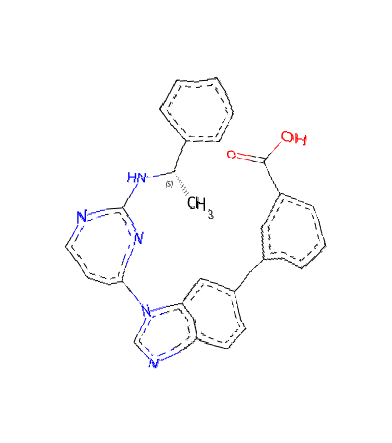 C[C@H](Nc1nccc(-n2cnc3ccc(-c4cccc(C(=O)O)c4)cc32)n1)c1ccccc1